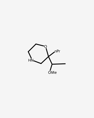 CCCC1(C(C)OC)CNCCO1